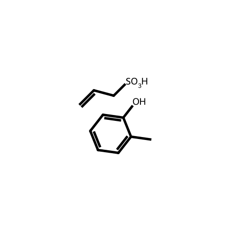 C=CCS(=O)(=O)O.Cc1ccccc1O